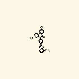 Cc1ccc(C(=O)Nc2ccc(-c3cn4cccc(C)c4n3)cc2)c(N2CCN(C)CC2)c1